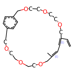 C=C/C1=C\C=C(/C)COCCOCCOCc2ccc(cc2)COCCOCCOC1